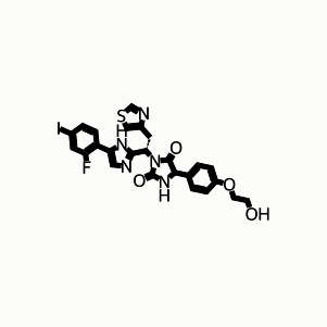 O=C1NC(c2ccc(OCCO)cc2)C(=O)N1[C@@H](Cc1cscn1)c1ncc(-c2ccc(I)cc2F)[nH]1